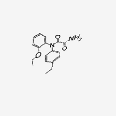 CCOc1ccccc1N(C(=O)C(N)=O)c1ccc(CC)cc1